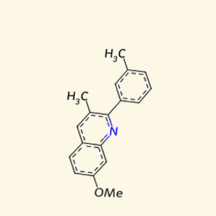 COc1ccc2cc(C)c(-c3cccc(C)c3)nc2c1